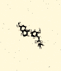 COc1ccc2c(Oc3ccc(CC(=O)OC(C)(C)C)c(OC)c3)ccnc2c1